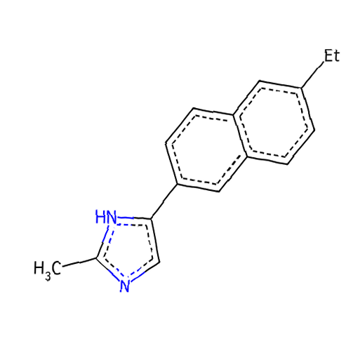 CCc1ccc2cc(-c3cnc(C)[nH]3)ccc2c1